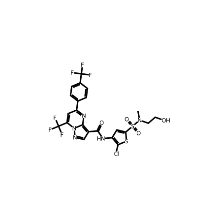 CN(CCO)S(=O)(=O)c1cc(NC(=O)c2cnn3c(C(F)(F)F)cc(-c4ccc(C(F)(F)F)cc4)nc23)c(Cl)s1